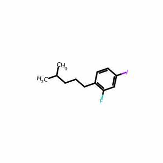 CC(C)CCCc1ccc(I)cc1F